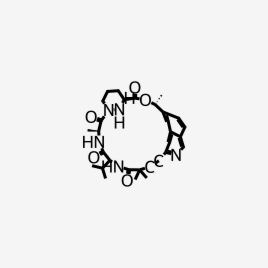 CC(C)C1NC(=O)C(C)(C)CCc2cc3cc(ccc3cn2)[C@@H](C)OC(=O)[C@@H]2CCCN(N2)C(=O)[C@H](C)NC1=O